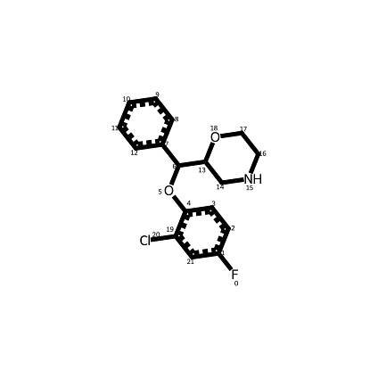 Fc1ccc(OC(c2ccccc2)C2CNCCO2)c(Cl)c1